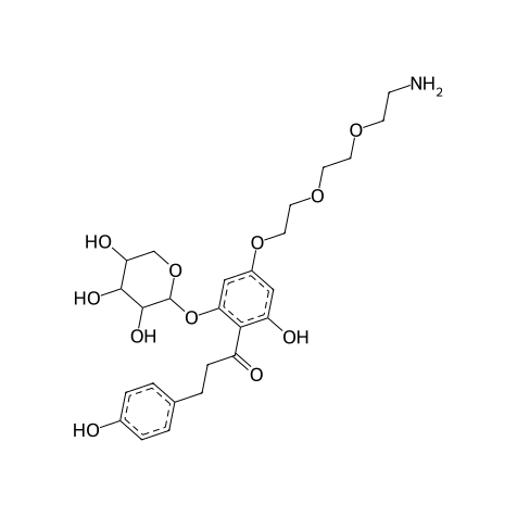 NCCOCCOCCOc1cc(O)c(C(=O)CCc2ccc(O)cc2)c(OC2OCC(O)C(O)C2O)c1